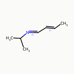 C/C=C/C=N/C(C)C